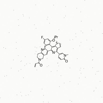 C=CC(=O)N1CCc2ncc(-c3nc(-c4ccc(=O)n(C)c4)c4ccsc4c3-c3c(F)cc(F)cc3OC(C)C)cc2C1